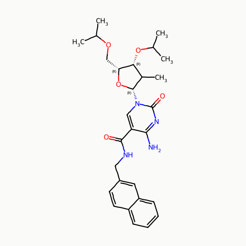 CC(C)OC[C@H]1O[C@@H](n2cc(C(=O)NCc3ccc4ccccc4c3)c(N)nc2=O)C(C)[C@H]1OC(C)C